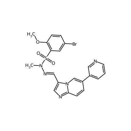 COc1ccc(Br)cc1S(=O)(=O)N(C)N=Cc1cnc2ccc(-c3cccnc3)cn12